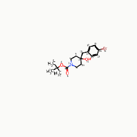 CC(C)(C)OC(=O)N1CCC(O)(Cc2ccc(Br)cc2)CC1